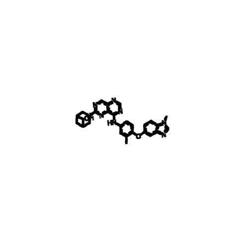 Cc1cc(Nc2ncnc3cnc(N4CC5CC(C4)C5O)nc23)ccc1Oc1ccc2c(c1)ncn2C